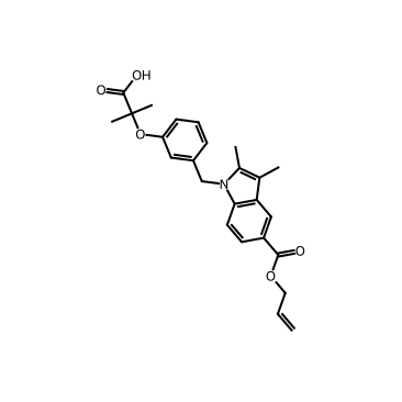 C=CCOC(=O)c1ccc2c(c1)c(C)c(C)n2Cc1cccc(OC(C)(C)C(=O)O)c1